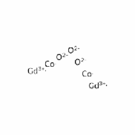 [Co].[Co].[Gd+3].[Gd+3].[O-2].[O-2].[O-2]